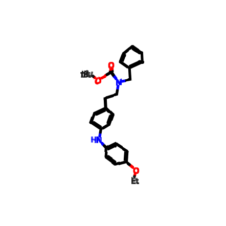 CCOc1ccc(Nc2ccc(CCN(Cc3ccccc3)C(=O)OC(C)(C)C)cc2)cc1